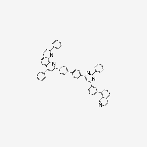 c1ccc(-c2ccc3ccc4c(-c5ccccc5)cc(-c5ccc(-c6ccc(-c7cc(-c8cccc(-c9cccc%10ccncc9%10)c8)nc(-c8ccccc8)n7)cc6)cc5)nc4c3n2)cc1